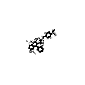 Cc1ccc2c(c1)c(-c1ccccc1Cl)c(NC(=O)OCc1ccc([N+](=O)[O-])cc1)c(=O)n2C